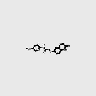 O=C(COc1ccc2c(c1)CCC(=O)N2)Nc1ccc([N+](=O)[O-])cn1